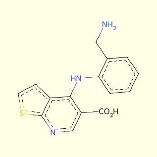 NCc1ccccc1Nc1c(C(=O)O)cnc2sccc12